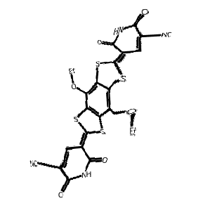 [C-]#[N+]C1=CC(=C2Sc3c(OCC)c4c(c(OCC)c3S2)SC(=C2C=C(C#N)C(=O)NC2=O)S4)C(=O)NC1=O